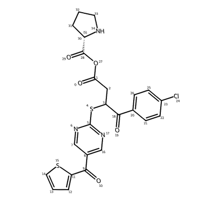 O=C(CC(Sc1ncc(C(=O)c2cccs2)cn1)C(=O)c1ccc(Cl)cc1)OC(=O)[C@@H]1CCCN1